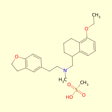 CCOc1cccc2c1CCCC2CN(C)CCc1ccc2c(c1)CCO2.CS(=O)(=O)O